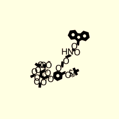 COC(=O)[C@H]1O[C@@H](Oc2ccc(CO[Si](C)(C)C(C)(C)C)c(OCCOCCNC(=O)OCC3c4ccccc4-c4ccccc43)c2)[C@H](OC(C)=O)[C@@H](OC(C)=O)[C@@H]1OC(C)=O